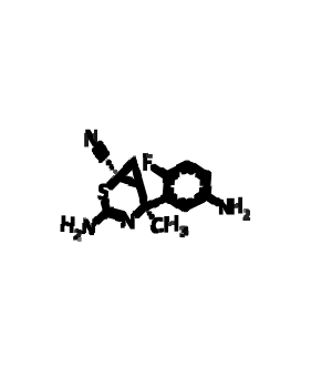 C[C@]1(c2cc(N)ccc2F)N=C(N)S[C@@]2(C#N)CC21